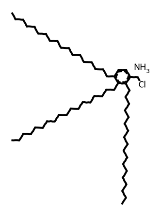 CCCCCCCCCCCCCCCCCCc1ccc(CCl)c(CCCCCCCCCCCCCCCCCC)c1CCCCCCCCCCCCCCCCCC.N